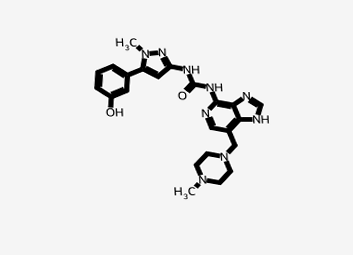 CN1CCN(Cc2cnc(NC(=O)Nc3cc(-c4cccc(O)c4)n(C)n3)c3nc[nH]c23)CC1